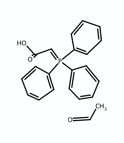 CC=O.O=C(O)C=P(c1ccccc1)(c1ccccc1)c1ccccc1